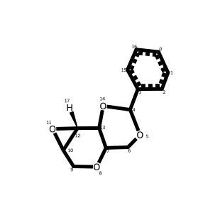 c1ccc(C2OCC3OCC4O[C@@H]4C3O2)cc1